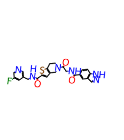 O=C(NCC(=O)N1CCc2sc(C(=O)NCc3cncc(F)c3)cc2C1)c1ccc2[nH]ncc2c1